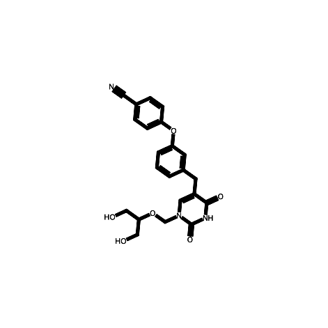 N#Cc1ccc(Oc2cccc(Cc3cn(COC(CO)CO)c(=O)[nH]c3=O)c2)cc1